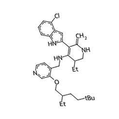 C=C1NCC(CC)C(NCc2ccncc2OCC(CC)CCC(C)(C)C)=C1c1cc2c(Cl)cccc2[nH]1